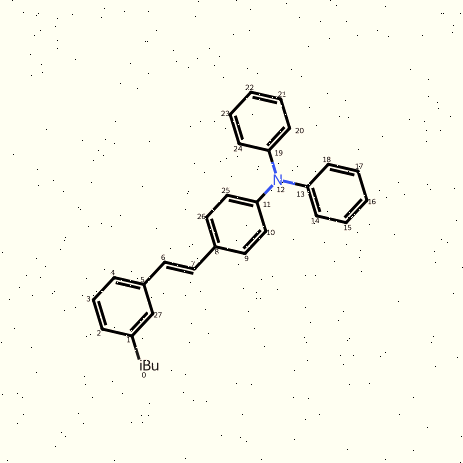 CCC(C)c1cccc(C=Cc2ccc(N(c3ccccc3)c3ccccc3)cc2)c1